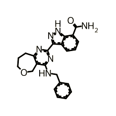 NC(=O)c1cccc2c(-c3nc4c(c(NCc5ccccc5)n3)COCCC4)n[nH]c12